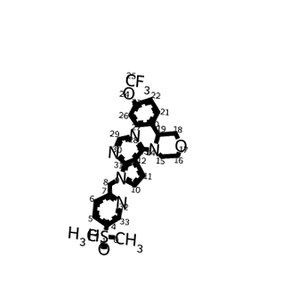 C[SH](C)(=O)c1ccc(Cn2ccc3c(N4CCOCC4c4ccc(OC(F)(F)F)cc4)ncnc32)nc1